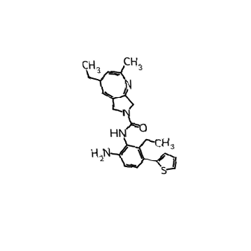 CCc1c(-c2cccs2)ccc(N)c1NC(=O)N1CC2=CC(CC)C=C(C)N=C2C1